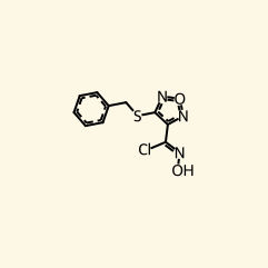 ON=C(Cl)c1nonc1SCc1ccccc1